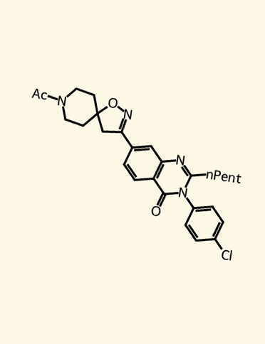 CCCCCc1nc2cc(C3=NOC4(CCN(C(C)=O)CC4)C3)ccc2c(=O)n1-c1ccc(Cl)cc1